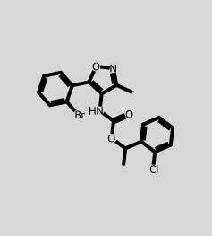 Cc1noc(-c2ccccc2Br)c1NC(=O)OC(C)c1ccccc1Cl